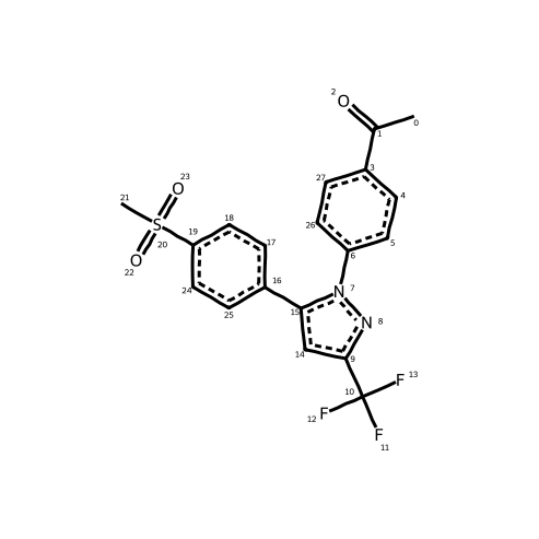 CC(=O)c1ccc(-n2nc(C(F)(F)F)cc2-c2ccc(S(C)(=O)=O)cc2)cc1